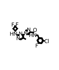 Cc1cnc(NC2CC(F)(F)C2)nc1-n1cnc(C(=O)NCc2cc(F)cc(Cl)c2)c1